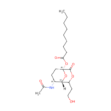 CCCCCCCCC(=O)O[C@@]12CC[C@@H](NC(C)=O)[C@H](O1)C(CCO)OC2=O